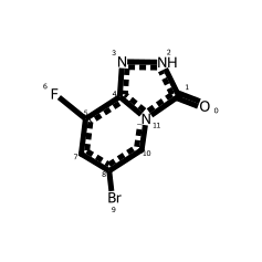 O=c1[nH]nc2c(F)cc(Br)cn12